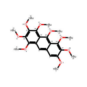 CCCCOc1cc2cc3c(OCCCC)c(OCCCC)c(OCCCC)c(OCCCC)c3c(OCCCC)c2c(OCCCC)c1OCCCC